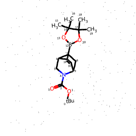 CC(C)(C)OC(=O)N1CC2CCC1C=C2B1OC(C)(C)C(C)(C)O1